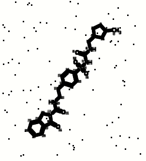 CC1CCC(CNC(=O)NS(=O)(=O)c2ccc(CCNC(=O)N3Cc4ccccc4C3=O)cc2)C1